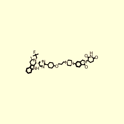 C=C(/C=N\C(=N/C)C1CCC(OCCCN2CCN(c3ccc4c(c3)CN(C3CCC(=O)NC3=O)C4=O)CC2)CC1)[C@@H]1c2[nH]c3ccccc3c2C[C@@H](C)N1CC(C)(C)F